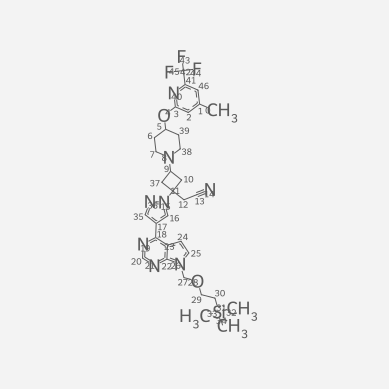 Cc1cc(OC2CCN(C3CC(CC#N)(n4cc(-c5ncnc6c5ccn6COCC[Si](C)(C)C)cn4)C3)CC2)nc(C(F)(F)F)c1